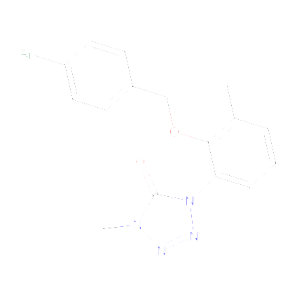 Cc1cccc(-n2nnn(C)c2=O)c1OCc1ccc(Br)cc1